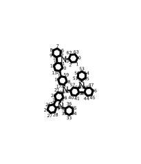 c1ccc(-n2c3ccccc3c3ccc(-c4ccc(N(c5ccc6c7ccccc7n(-c7ccccc7)c6c5)c5ccc6c7ccccc7n(-c7ccccc7)c6c5)cc4)cc32)cc1